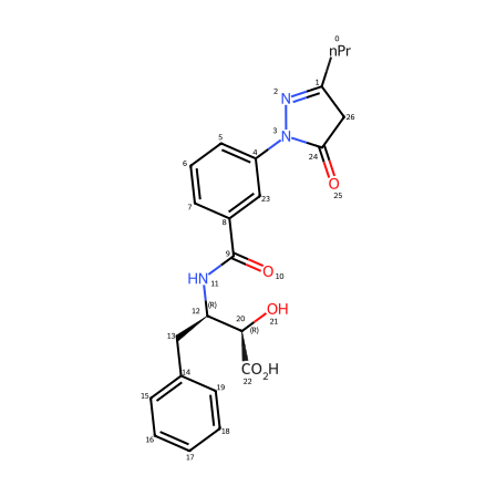 CCCC1=NN(c2cccc(C(=O)N[C@H](Cc3ccccc3)[C@@H](O)C(=O)O)c2)C(=O)C1